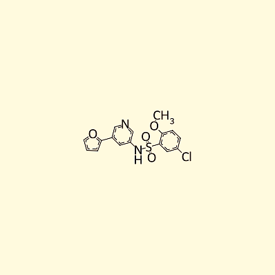 COc1ccc(Cl)cc1S(=O)(=O)Nc1cncc(-c2ccco2)c1